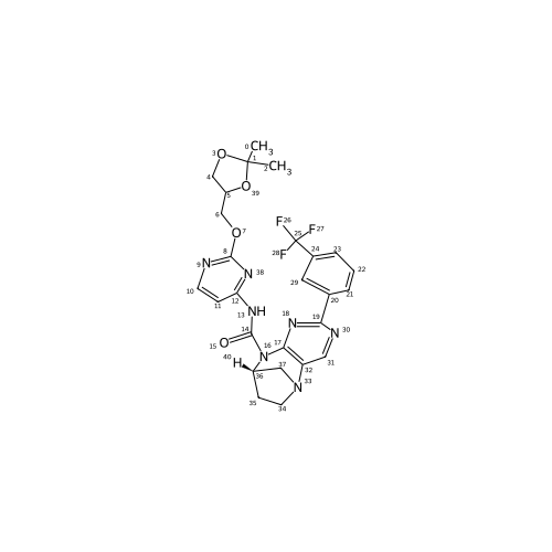 CC1(C)OCC(COc2nccc(NC(=O)N3c4nc(-c5cccc(C(F)(F)F)c5)ncc4N4CC[C@H]3C4)n2)O1